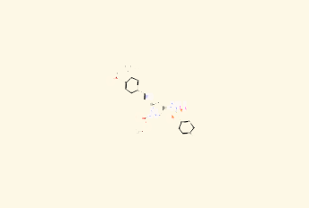 COC(=O)c1ccc(/C=C/[C@@H]2C[C@@H](NS(=O)(=O)c3ccc(Cl)cc3)CN2C(=O)OC(C)(C)C)cc1